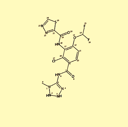 CN1NNN=C1NC(=O)c1ccc(OC(F)F)c(NC(=O)c2nncs2)c1Cl